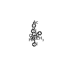 CC(=O)N1CCN(c2ccc3c(=O)c(S(=O)(=O)NCc4ccccn4)c4n(C)c5ccccc5n4c3n2)CC1